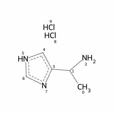 CC(N)c1c[nH]cn1.Cl.Cl